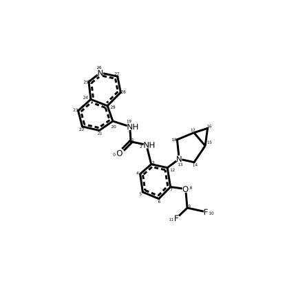 O=C(Nc1cccc(OC(F)F)c1N1CC2CC2C1)Nc1cccc2cnccc12